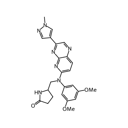 COc1cc(OC)cc(N(CC2CCC(=O)N2)c2ccc3ncc(-c4cnn(C)c4)nc3n2)c1